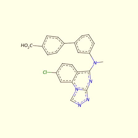 CN(c1cccc(-c2ccc(C(=O)O)cc2)c1)c1nc2nncn2c2cc(Cl)ccc12